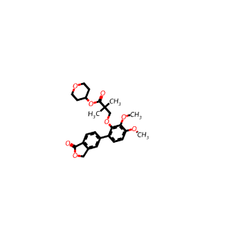 COc1ccc(-c2ccc3c(c2)COC3=O)c(OCC(C)(C)C(=O)OC2CCOCC2)c1OC